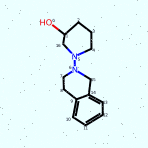 OC1CCCN(N2CCc3ccccc3C2)C1